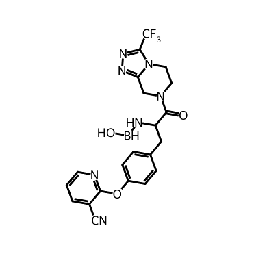 N#Cc1cccnc1Oc1ccc(CC(NBO)C(=O)N2CCn3c(nnc3C(F)(F)F)C2)cc1